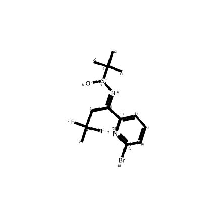 CC(F)(F)C/C(=N\[S+]([O-])C(C)(C)C)c1cccc(Br)n1